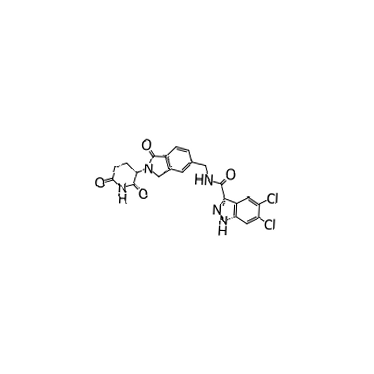 O=C1CCC(N2Cc3cc(CNC(=O)c4n[nH]c5cc(Cl)c(Cl)cc45)ccc3C2=O)C(=O)N1